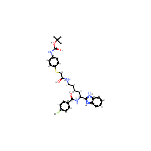 CC(C)(C)OC(=O)Nc1ccc(SCC(=O)NCCCCC(NC(=O)c2ccc(F)cc2)c2nc3ccccc3[nH]2)cc1